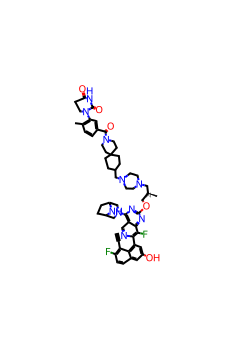 C#Cc1c(F)ccc2cc(O)cc(-c3ncc4c(N5CC6CCC(C5)N6)nc(OC[C@H](C)CN5CCN(CC6CCC7(CC6)CCN(C(=O)c6ccc(C)c(N8CCC(=O)NC8=O)c6)CC7)CC5)nc4c3F)c12